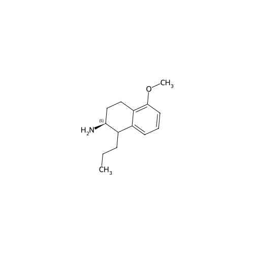 CCCC1c2cccc(OC)c2CC[C@@H]1N